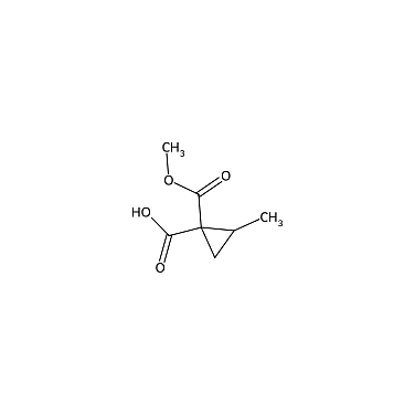 COC(=O)C1(C(=O)O)CC1C